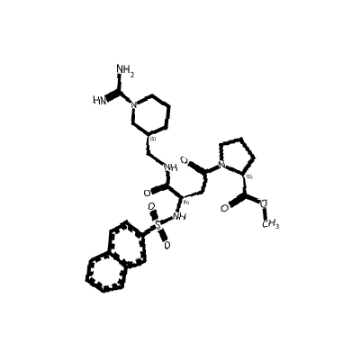 COC(=O)[C@@H]1CCCN1C(=O)C[C@@H](NS(=O)(=O)c1ccc2ccccc2c1)C(=O)NC[C@@H]1CCCN(C(=N)N)C1